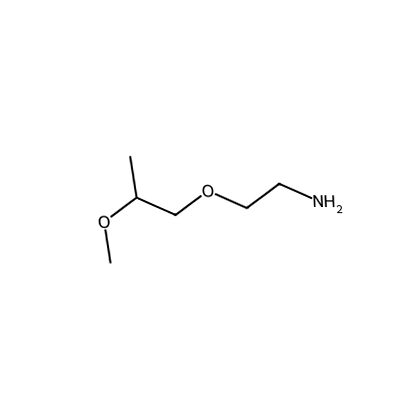 COC(C)COCCN